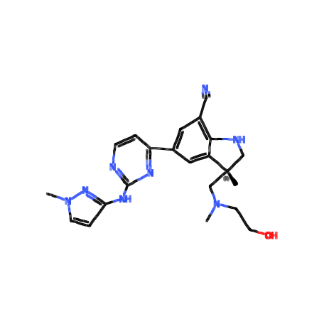 CN(CCO)C[C@@]1(C)CNc2c(C#N)cc(-c3ccnc(Nc4ccn(C)n4)n3)cc21